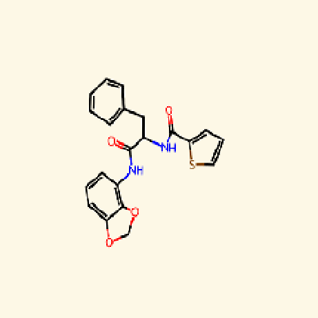 O=C(NC(Cc1ccccc1)C(=O)Nc1cccc2c1OCO2)c1cccs1